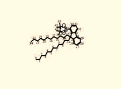 CCCCCCCCCCCCC1(CCCCCCCCCCCC)c2ccccc2-c2cccc(B3OC(C)(C)C(C)(C)O3)c21